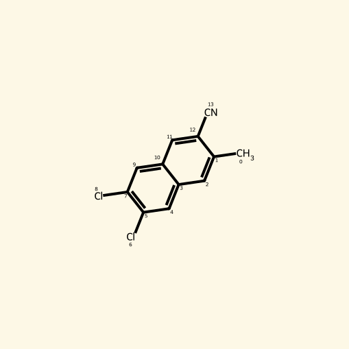 Cc1cc2cc(Cl)c(Cl)cc2cc1C#N